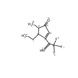 CCC1C(C(=N)C(F)(F)F)=CC(=O)C1C